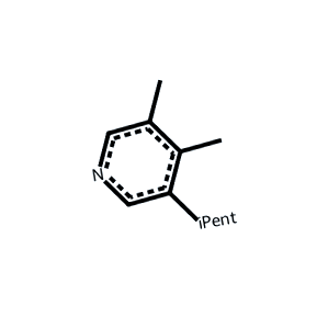 CCCC(C)c1cncc(C)c1C